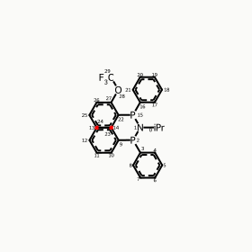 CC(C)N(P(c1ccccc1)c1ccccc1)P(c1ccccc1)c1ccccc1OC(F)(F)F